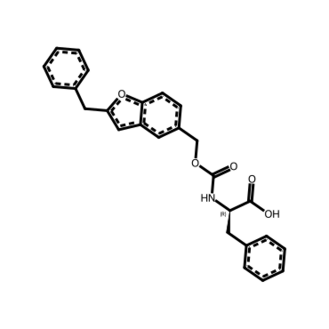 O=C(N[C@H](Cc1ccccc1)C(=O)O)OCc1ccc2oc(Cc3ccccc3)cc2c1